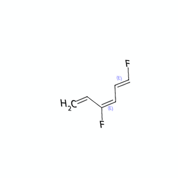 C=C/C(F)=C\C=C\F